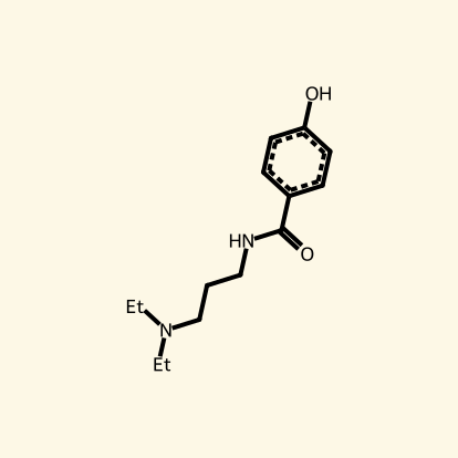 CCN(CC)CCCNC(=O)c1ccc(O)cc1